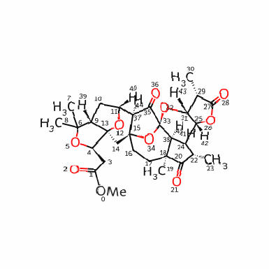 COC(=O)C[C@H]1OC(C)(C)[C@@H]2C[C@H]3O[C@@]12C[C@]12CC[C@]4(C)C(=O)[C@@H](C)[C@@H]5[C@H]6OC(=O)[C@@H](C)[C@H]6O[C@@](O1)(C(=O)[C@H]32)[C@@H]54